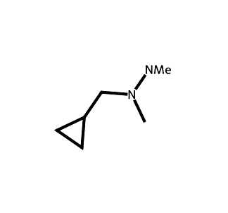 CNN(C)CC1CC1